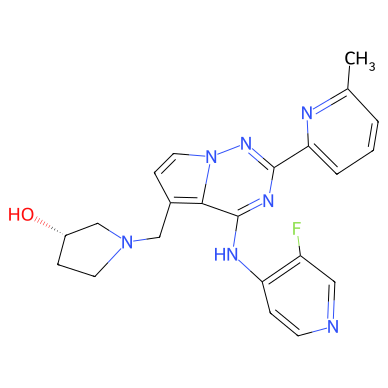 Cc1cccc(-c2nc(Nc3ccncc3F)c3c(CN4CC[C@H](O)C4)ccn3n2)n1